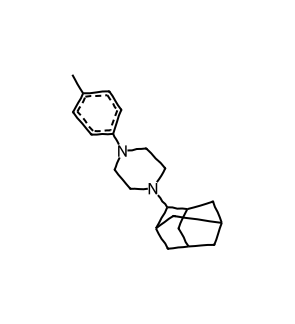 Cc1ccc(N2CCN(C3C4CC5CC(C4)CC3C5)CC2)cc1